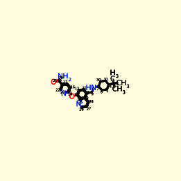 CC(C)(C)C1CCC(NCc2ccc(Oc3ccc(C(N)=O)cn3)c3ncccc23)CC1